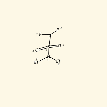 CCN(CC)S(=O)(=O)C(F)F